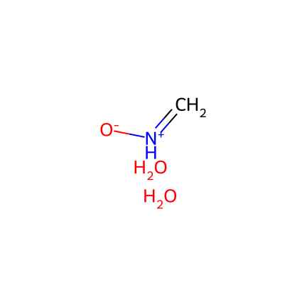 C=[NH+][O-].O.O